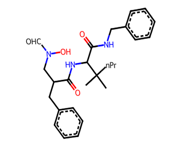 CCCC(C)(C)C(NC(=O)C(Cc1ccccc1)CN(O)C=O)C(=O)NCc1ccccc1